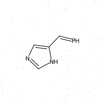 P=Cc1cnc[nH]1